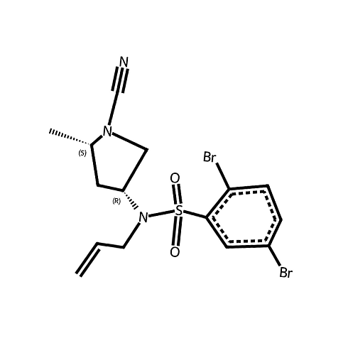 C=CCN([C@@H]1C[C@H](C)N(C#N)C1)S(=O)(=O)c1cc(Br)ccc1Br